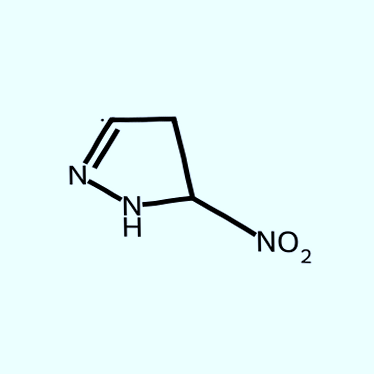 O=[N+]([O-])C1C[C]=NN1